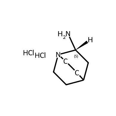 Cl.Cl.N[C@@H]1CC2CCN1CC2